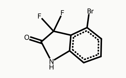 O=C1Nc2cccc(Br)c2C1(F)F